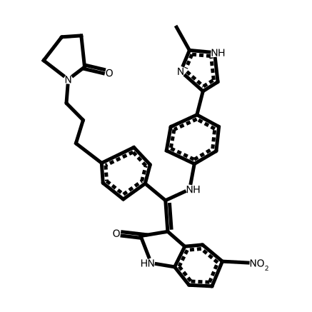 Cc1nc(-c2ccc(NC(=C3C(=O)Nc4ccc([N+](=O)[O-])cc43)c3ccc(CCCN4CCCC4=O)cc3)cc2)c[nH]1